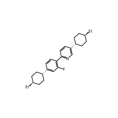 CC[C@H]1CC[C@H](c2ccc(-c3ccc([C@H]4CC[C@H](CC)CC4)cc3F)nc2)CC1